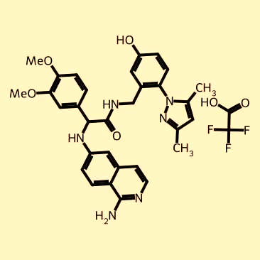 COc1ccc(C(Nc2ccc3c(N)nccc3c2)C(=O)NCc2cc(O)ccc2-n2nc(C)cc2C)cc1OC.O=C(O)C(F)(F)F